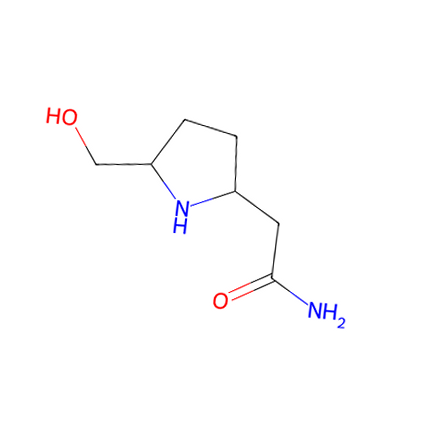 NC(=O)CC1CCC(CO)N1